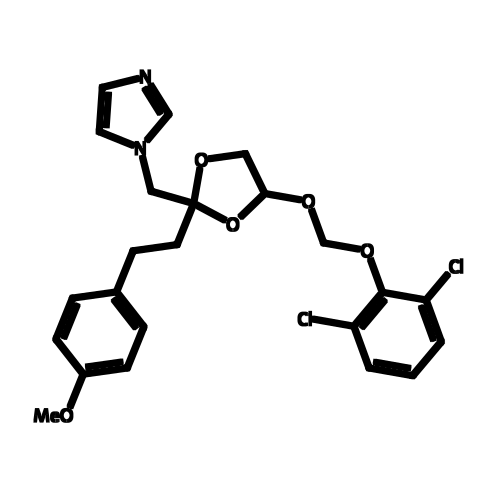 COc1ccc(CCC2(Cn3ccnc3)OCC(OCOc3c(Cl)cccc3Cl)O2)cc1